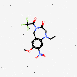 CCN1CC(=O)N(C(=O)C(F)(F)F)Cc2cc(OC)c([N+](=O)[O-])cc21